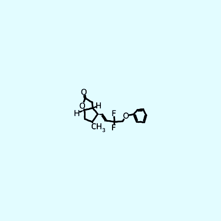 C[C@@H]1C[C@@H]2OC(=O)C[C@@H]2[C@H]1/C=C/C(F)(F)COc1ccccc1